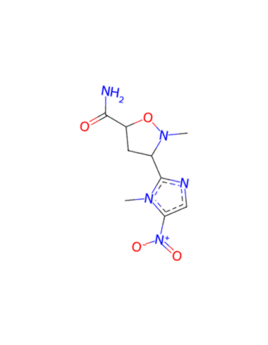 CN1OC(C(N)=O)CC1c1ncc([N+](=O)[O-])n1C